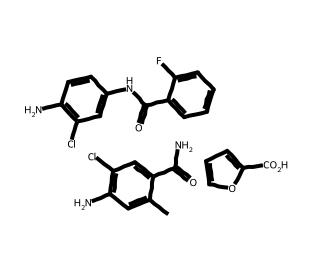 Cc1cc(N)c(Cl)cc1C(N)=O.Nc1ccc(NC(=O)c2ccccc2F)cc1Cl.O=C(O)c1ccco1